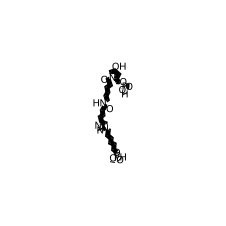 CO[PH](=O)OCCCCCCn1cc(CCCC(=O)NCCCCCC(=O)N2C[C@H](O)CC2CO[PH](=O)OC)nn1